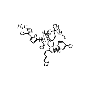 COC(=O)c1ccc(NC(=O)[C@@H]2N[C@@H](CC(C)(C)C)[C@](N)(c3ccc(Cl)cc3F)[C@H]2C(/C=C\C=C\Cl)=C\F)o1